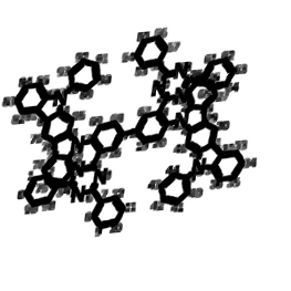 c1ccc(-c2nc(-c3ccccc3)nc(-c3cc(-c4ccc(-n5c6ccccc6c6cc7c8ccccc8n(-c8ccccc8)c7cc65)c(-c5nc(-c6ccccc6)nc(-c6ccccc6)n5)c4)ccc3-n3c4ccccc4c4cc5c6ccccc6n(-c6ccccc6)c5cc43)n2)cc1